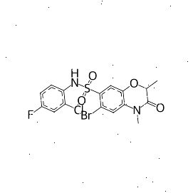 CC1Oc2cc(S(=O)(=O)Nc3ccc(F)cc3Cl)c(Br)cc2N(C)C1=O